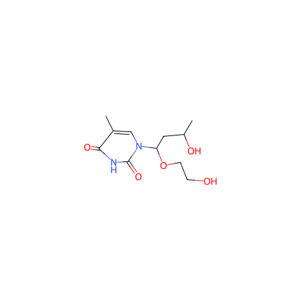 Cc1cn(C(CC(C)O)OCCO)c(=O)[nH]c1=O